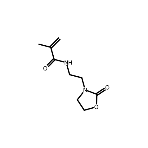 C=C(C)C(=O)NCCN1CCOC1=O